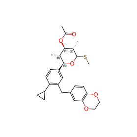 CSC1O[C@@H](c2ccc(C3CC3)c(Cc3ccc4c(c3)OCCO4)c2)[C@H](C)[C@@H](OC(C)=O)[C@@H]1C